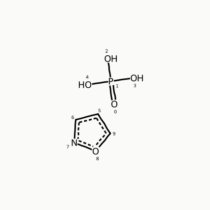 O=P(O)(O)O.c1cnoc1